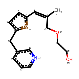 CC(=Cc1ccc(Cc2cccnc2)s1)COCCO